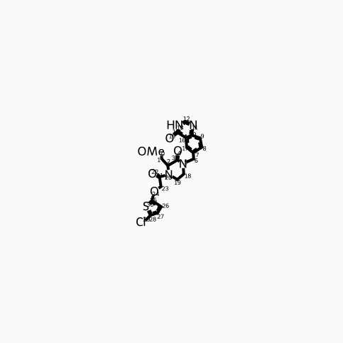 COCC1C(=O)N(Cc2ccc3nc[nH]c(=O)c3c2)CCN1C(=O)COc1ccc(Cl)s1